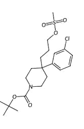 CC(C)(C)OC(=O)N1CCC(CCCOS(C)(=O)=O)(c2cccc(Cl)c2)CC1